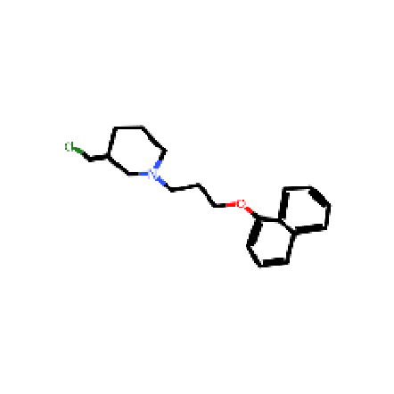 ClCC1CCCN(CCCOc2cccc3ccccc23)C1